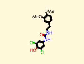 COc1ccc(CCNC(=O)Nc2cc(Cl)c(O)c(Cl)c2)cc1OC